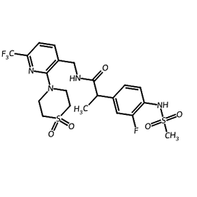 CC(C(=O)NCc1ccc(C(F)(F)F)nc1N1CCS(=O)(=O)CC1)c1ccc(NS(C)(=O)=O)c(F)c1